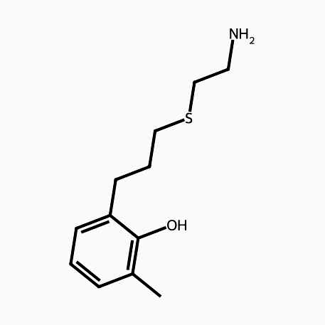 Cc1cccc(CCCSCCN)c1O